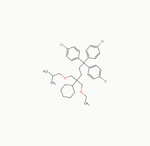 CCOCC(CC[Si](c1ccc(Cl)cc1)(c1ccc(Cl)cc1)c1ccc(Cl)cc1)(COCC(C)C)C1CCCCC1